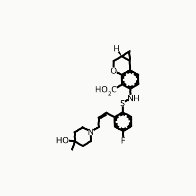 CC1(O)CCN(C/C=C\c2cc(F)ccc2SNc2ccc3c(c2C(=O)O)OC[C@@H]2CC32)CC1